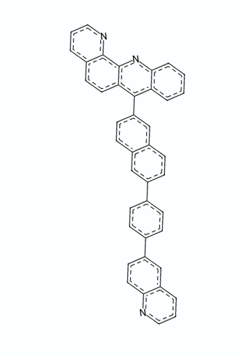 c1cnc2ccc(-c3ccc(-c4ccc5cc(-c6c7ccccc7nc7c6ccc6cccnc67)ccc5c4)cc3)cc2c1